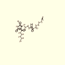 C#CCCCCC(C)C(=O)NCCCC[C@H]1C(OC)=CC(=O)N1C(=O)CCCCC